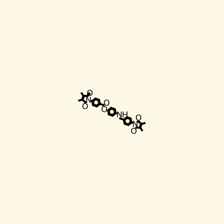 CC1=C(C)C(=O)N(c2ccc(CNc3ccc(OC(=O)c4ccc(N5C(=O)C(C)=C(C)C5=O)cc4)cc3)cc2)C1=O